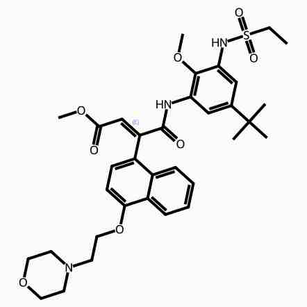 CCS(=O)(=O)Nc1cc(C(C)(C)C)cc(NC(=O)/C(=C/C(=O)OC)c2ccc(OCCN3CCOCC3)c3ccccc23)c1OC